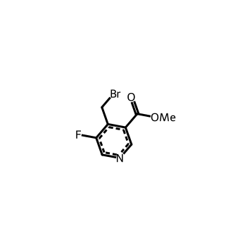 COC(=O)c1cncc(F)c1CBr